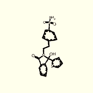 NS(=O)(=O)c1ccc(CCN2C(=O)c3ccccc3C2(O)c2cccs2)cc1